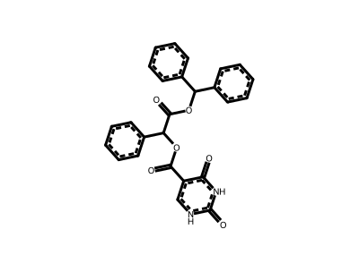 O=C(OC(C(=O)OC(c1ccccc1)c1ccccc1)c1ccccc1)c1c[nH]c(=O)[nH]c1=O